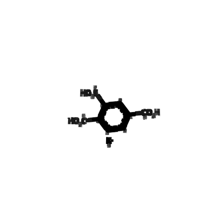 O=C(O)c1ccc(C(=O)O)c(S(=O)(=O)O)c1.[K]